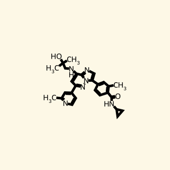 Cc1cc(-c2cc(NCC(C)(C)O)c3ncc(-c4ccc(C(=O)NC5CC5)c(C)c4)n3n2)ccn1